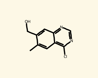 Cc1cc2c(Cl)ncnc2cc1CO